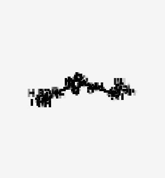 BCC(=O)N(CCNC(=O)CCCCCn1nnc2c1-c1ccccc1CN(C(=O)CCC(=O)NCCCCCCOP(=O)(O)OC1C[C@H](B)O[C@@H]1COC(C)C)c1ccccc1-2)CC(=O)NCC